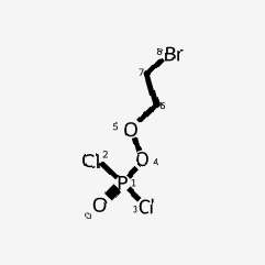 O=P(Cl)(Cl)OOCCBr